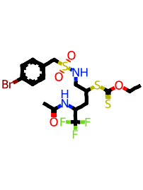 CCOC(=S)SC(CNS(=O)(=O)Cc1ccc(Br)cc1)CC(NC(C)=O)C(F)(F)F